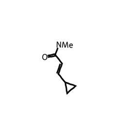 CNC(=O)/C=C/C1CC1